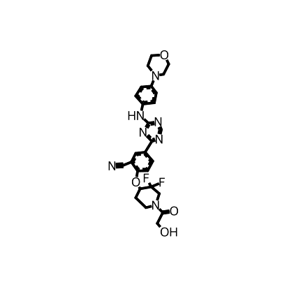 N#Cc1cc(-c2ncnc(Nc3ccc(N4CCOCC4)cc3)n2)ccc1OC1CCN(C(=O)CO)CC1(F)F